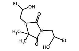 CCC(O)CN1C(=O)N(CC(O)CC)C(C)(C)C1=O